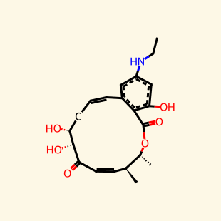 CCNc1cc(O)c2c(c1)/C=C\C[C@@H](O)[C@@H](O)C(=O)/C=C\[C@H](C)[C@@H](C)OC2=O